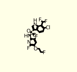 O=S(=O)(Nc1nc(F)c(OCCF)cc1F)c1c[nH]c2c(C(F)F)c(Cl)ccc12